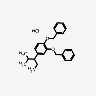 CC(C)C(CN)c1ccc(OCc2ccccc2)c(OCc2ccccc2)c1.Cl